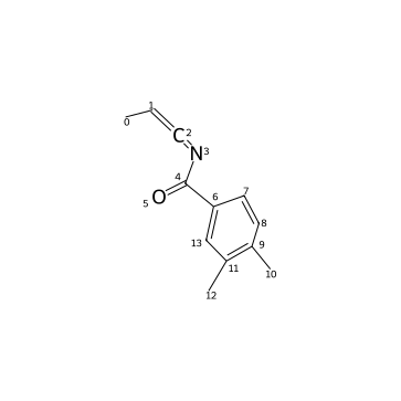 CC=C=NC(=O)c1ccc(C)c(C)c1